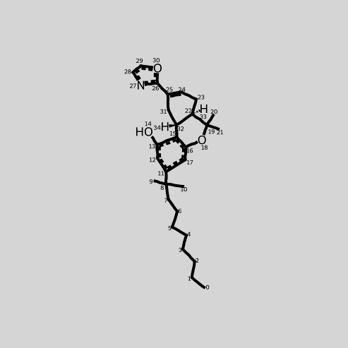 CCCCCCCCC(C)(C)c1cc(O)c2c(c1)OC(C)(C)[C@@H]1CC=C(c3ncco3)C[C@@H]21